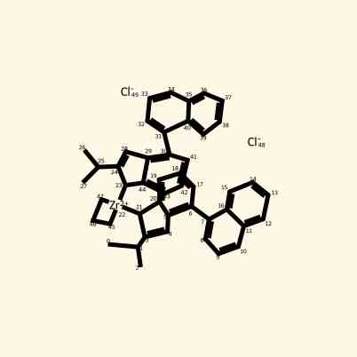 CC(C)C1=Cc2c(-c3cccc4ccccc34)cccc2[CH]1[Zr+2]1([CH]2C(C(C)C)=Cc3c(-c4cccc5ccccc45)cccc32)[CH2]C[CH2]1.[Cl-].[Cl-]